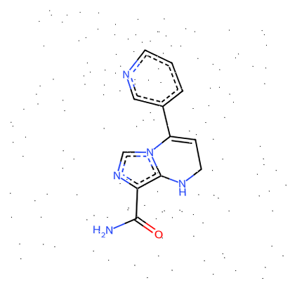 NC(=O)c1ncn2c1NCC=C2c1cccnc1